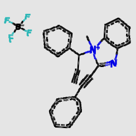 C#CC(c1ccccc1)[N+]1(C)C(C#Cc2ccccc2)=Nc2ccccc21.F[B-](F)(F)F